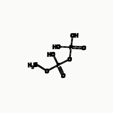 O=P(O)(O)OP(=O)(O)O[SiH3]